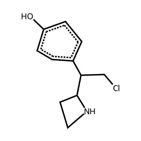 Oc1ccc(C(CCl)C2CCN2)cc1